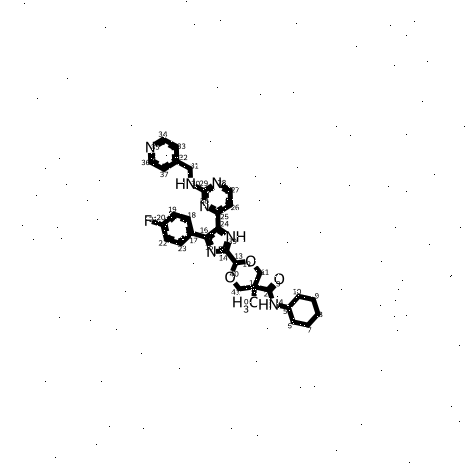 CC1(C(=O)NC2CCCCC2)COC(c2nc(-c3ccc(F)cc3)c(-c3ccnc(NCc4ccncc4)n3)[nH]2)OC1